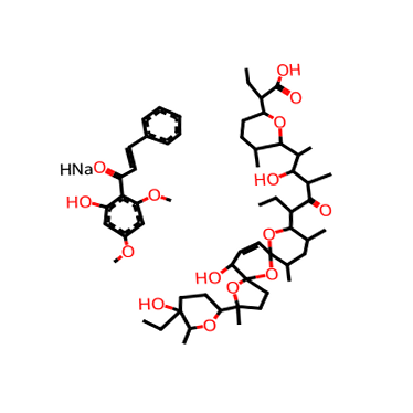 CCC(C(=O)O)C1CCC(C)C(C(C)C(O)C(C)C(=O)C(CC)C2OC3(C=CC(O)C4(CCC(C)(C5CCC(O)(CC)C(C)O5)O4)O3)C(C)CC2C)O1.COc1cc(O)c(C(=O)C=Cc2ccccc2)c(OC)c1.[NaH]